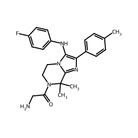 Cc1ccc(-c2nc3n(c2Nc2ccc(F)cc2)CCN(C(=O)CN)C3(C)C)cc1